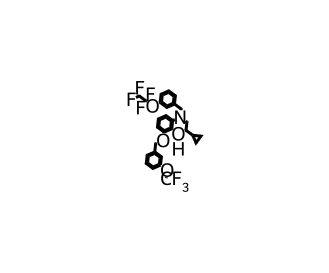 OC(CN(Cc1cccc(OC(F)(F)C(F)F)c1)c1cccc(OCc2cccc(OC(F)(F)F)c2)c1)C1CC1